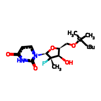 CC(C)(C)[Si](C)(C)OC[C@H]1O[C@@H](n2ccc(=O)[nH]c2=O)[C@](C)(F)[C@@H]1O